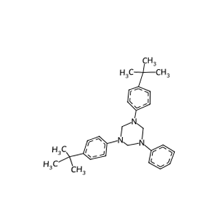 CC(C)(C)c1ccc(N2CN(c3ccccc3)CN(c3ccc(C(C)(C)C)cc3)C2)cc1